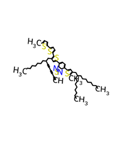 C#CC#CC#CC(CCCCCCCC)Cc1cc(-c2ccc(-c3cc(CC(CCCCCCCC)CCCCCCCC)c(C)s3)c3nsnc23)sc1-c1ccc(-c2ccc(C)s2)s1